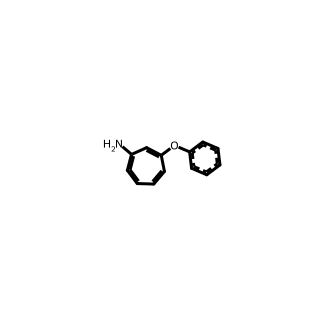 NC1=C=CC=CC(Oc2ccccc2)=C1